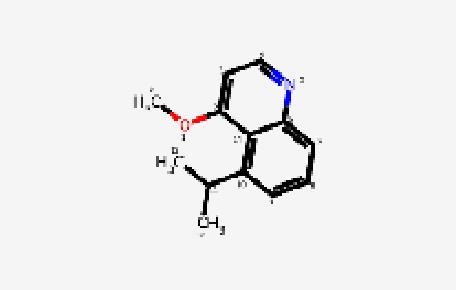 COc1ccnc2cccc(C(C)C)c12